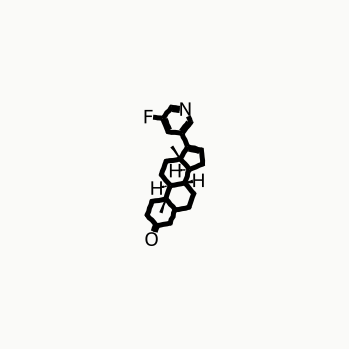 C[C@]12CCC(=O)CC1CC[C@@H]1[C@@H]2CC[C@]2(C)C(c3cncc(F)c3)=CC[C@@H]12